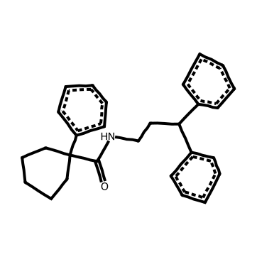 O=C(NCCC(c1ccccc1)c1ccccc1)C1(c2ccccc2)CCCCC1